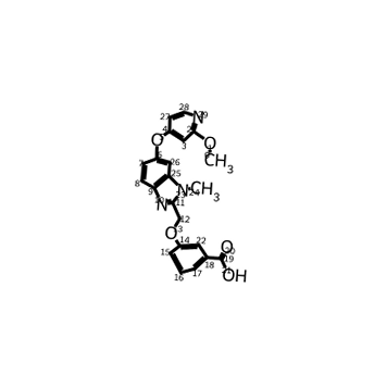 COc1cc(Oc2ccc3nc(COc4cccc(C(=O)O)c4)n(C)c3c2)ccn1